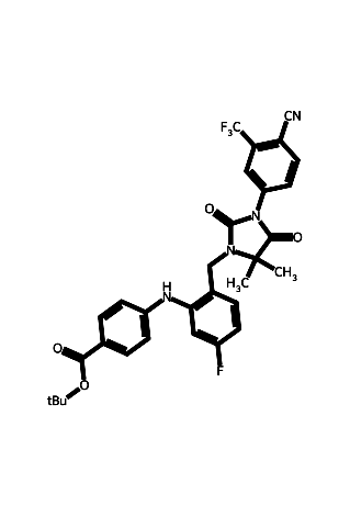 CC(C)(C)OC(=O)c1ccc(Nc2cc(F)ccc2CN2C(=O)N(c3ccc(C#N)c(C(F)(F)F)c3)C(=O)C2(C)C)cc1